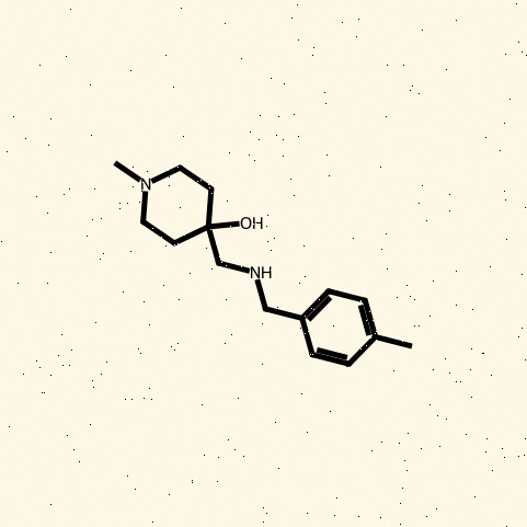 Cc1ccc(CNCC2(O)CCN(C)CC2)cc1